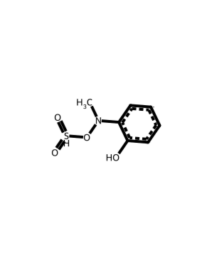 CN(O[SH](=O)=O)c1c[c]ccc1O